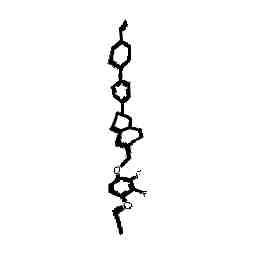 C=CC1CCC(c2ccc(C3CCC4CC(COc5ccc(OCC)c(F)c5F)CCC4C3)cc2)CC1